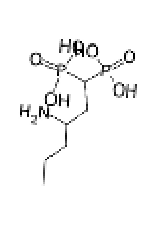 CCCC(N)CC(P(=O)(O)O)P(=O)(O)O